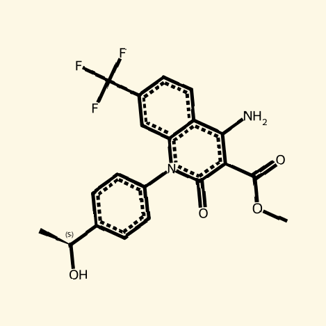 COC(=O)c1c(N)c2ccc(C(F)(F)F)cc2n(-c2ccc([C@H](C)O)cc2)c1=O